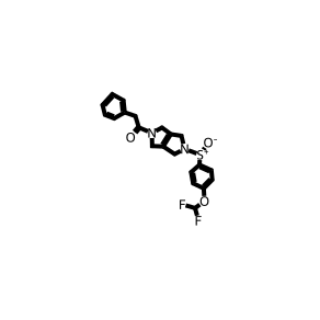 O=C(Cc1ccccc1)N1CC2=C(C1)CN([S+]([O-])c1ccc(OC(F)F)cc1)C2